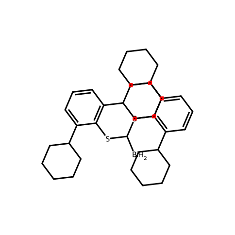 [BiH2][CH](Sc1c(C2CCCCC2)cccc1C1CCCCC1)Sc1c(C2CCCCC2)cccc1C1CCCCC1